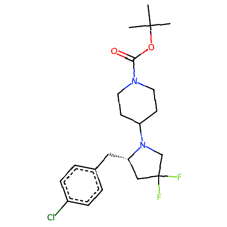 CC(C)(C)OC(=O)N1CCC(N2CC(F)(F)C[C@@H]2Cc2ccc(Cl)cc2)CC1